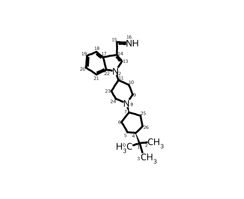 CC(C)(C)[C@H]1CC[C@@H](N2CCC(n3cc(C=N)c4ccccc43)CC2)CC1